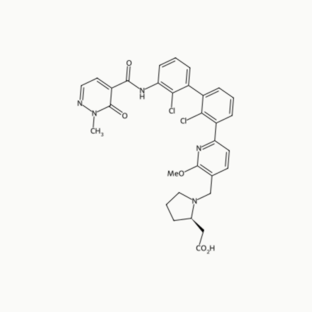 COc1nc(-c2cccc(-c3cccc(NC(=O)c4ccnn(C)c4=O)c3Cl)c2Cl)ccc1CN1CCC[C@@H]1CC(=O)O